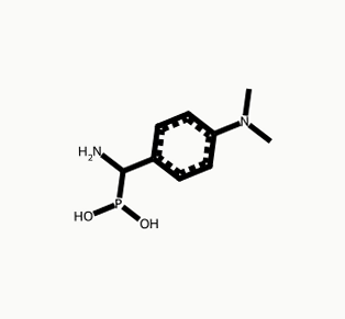 CN(C)c1ccc(C(N)P(O)O)cc1